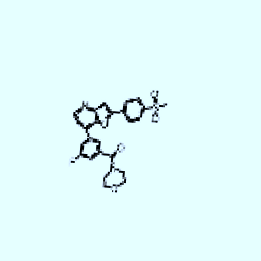 CS(=O)(=O)c1ccc(-c2cc3nccc(-c4cc(F)cc(C(=O)N5CCOCC5)c4)c3o2)cc1